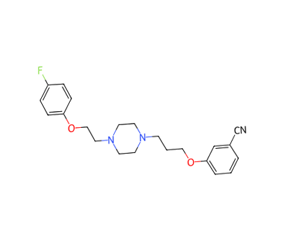 N#Cc1cccc(OCCCN2CCN(CCOc3ccc(F)cc3)CC2)c1